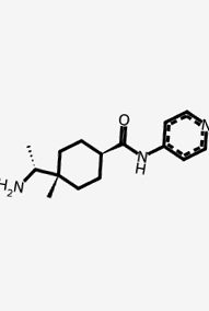 C[C@@H](N)[C@]1(C)CC[C@@H](C(=O)Nc2ccncc2)CC1